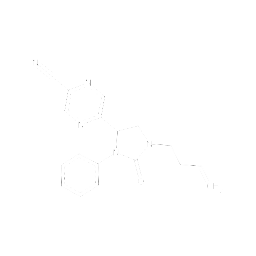 C=CCCN1CC(c2cnc(C#N)cn2)N(c2ccccc2)C1=O